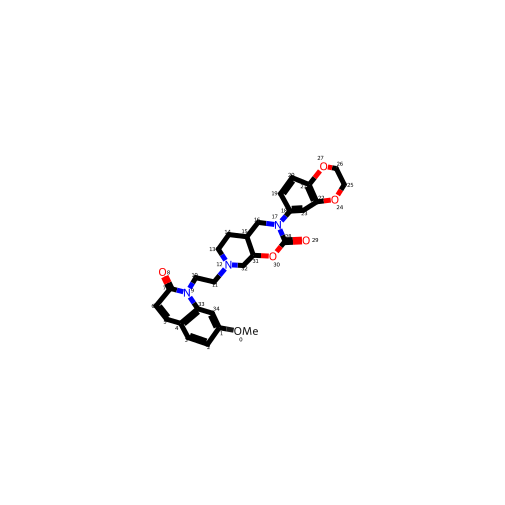 COc1ccc2ccc(=O)n(CCN3CCC4CN(c5ccc6c(c5)OCCO6)C(=O)OC4C3)c2c1